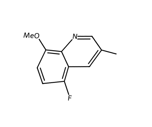 COc1ccc(F)c2cc(C)cnc12